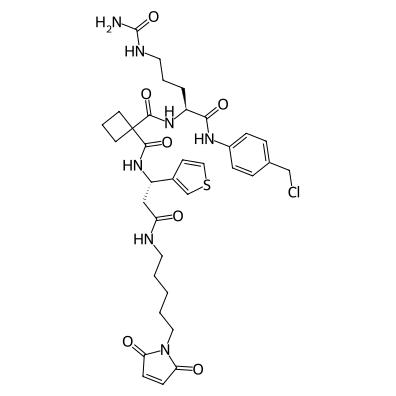 NC(=O)NCCC[C@H](NC(=O)C1(C(=O)N[C@@H](CC(=O)NCCCCCN2C(=O)C=CC2=O)c2ccsc2)CCC1)C(=O)Nc1ccc(CCl)cc1